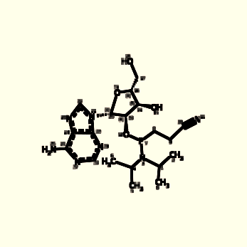 CC(C)N(C(C)C)P(CCC#N)O[C@@H]1[C@H](O)[C@@H](CO)O[C@H]1n1cnc2c(N)ncnc21